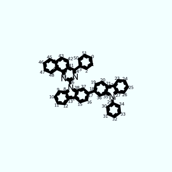 c1ccc(-c2nc(-n3c4ccccc4c4ccc(-c5ccc6c7ccccc7n(-c7ccccc7)c6c5)cc43)nc3c2ccc2ccccc23)cc1